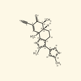 C[C@@H]1C(=O)C(C#N)=CC2(C)c3nn(C)c(-c4nnn(C)n4)c3CC[C@@H]12